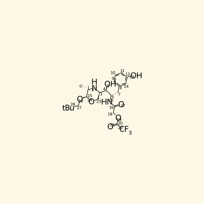 C[C@@H]1N[C@@H]([C@@H](O)[C@H](Cc2cccc(O)c2)NC(=O)COC(=O)C(F)(F)F)CO[C@H]1OCC(C)(C)C